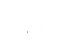 CCNC(=O)[C@@H](C)C(C)C